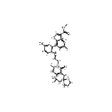 COC(=O)c1csc2c(-c3cc(Cl)ccc3OCCn3c(C)nc4c(c3=O)CC3(CC4(C)C)OCCO3)cc(C)nc12